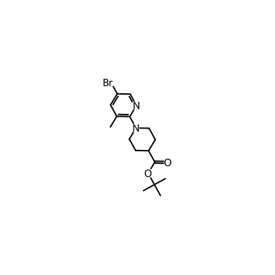 Cc1cc(Br)cnc1N1CCC(C(=O)OC(C)(C)C)CC1